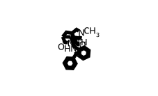 CN1CC2CC3C(=O)NC2(C(=O)NCc2ccccc2)[C@@H]1C3Cc1ccccc1